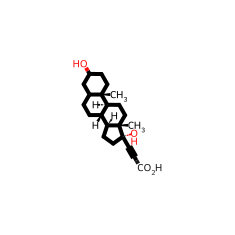 C[C@]12CCC(O)CC1CC[C@@H]1[C@@H]2CC[C@@]2(C)[C@H]1CC[C@]2(O)C#CC(=O)O